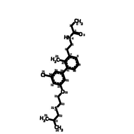 CCC(=O)NCCc1cccc(-c2cc(Cl)cc(OCCSCC(C)C)c2)c1C